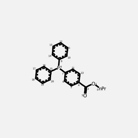 CCCOC(=O)c1ccc(P(c2ccccc2)c2ccccc2)cc1